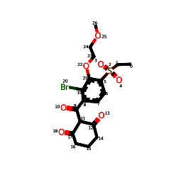 CCS(=O)(=O)c1ccc(C(=O)C2C(=O)CCCC2=O)c(Br)c1OCCOC